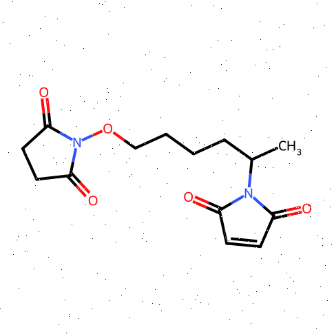 CC(CCCCON1C(=O)CCC1=O)N1C(=O)C=CC1=O